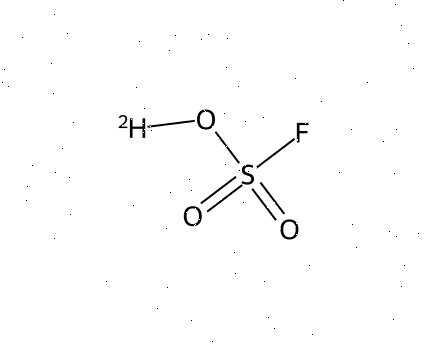 [2H]OS(=O)(=O)F